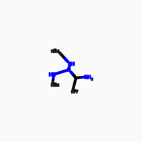 CCCCNN(NCCCC)C(N)CCC